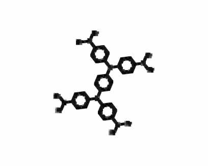 CC(C)N(c1ccc(N(c2ccc(N(c3ccc(N(C(C)C)C(C)C)cc3)c3ccc(N(C(C)C)C(C)C)cc3)cc2)c2ccc(N(C(C)C)C(C)C)cc2)cc1)C(C)C